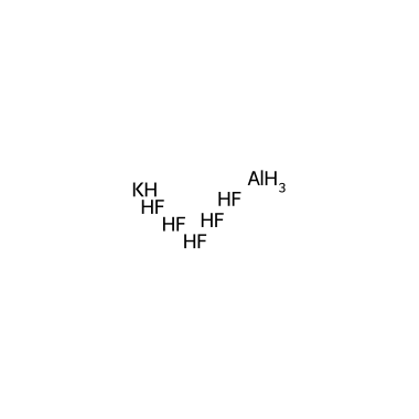 F.F.F.F.F.[AlH3].[KH]